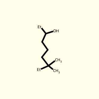 CCC(O)CCCC(C)(C)CC